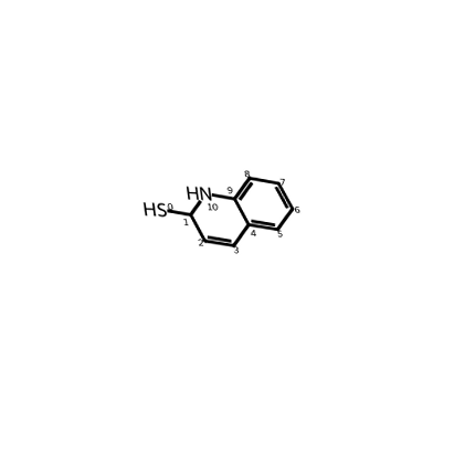 SC1C=Cc2ccccc2N1